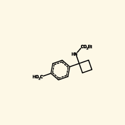 CCOC(=O)NC1(c2ccc(C(=O)O)cc2)CCC1